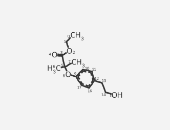 CCOC(=O)C(C)(C)Oc1ccc(CCO)cc1